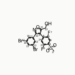 CS(=O)(=O)c1cc(F)c(-c2c(-c3cc(Br)cc(Br)c3)noc2CO)cc1F